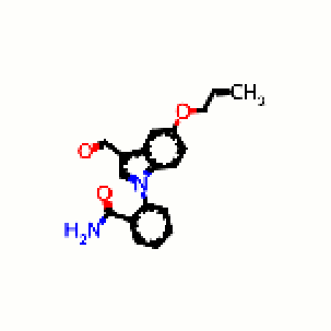 C=CCOc1ccc2c(c1)c(C=O)cn2-c1ccccc1C(N)=O